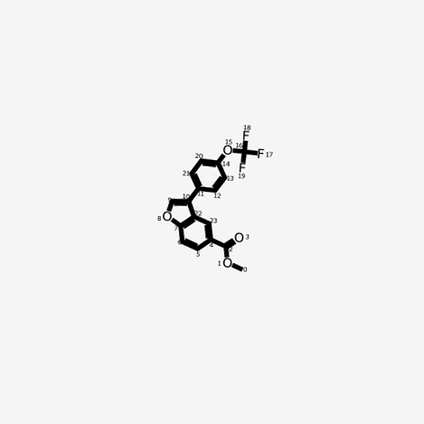 COC(=O)c1ccc2occ(-c3ccc(OC(F)(F)F)cc3)c2c1